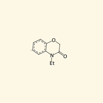 CCN1C(=O)COc2cc[c]cc21